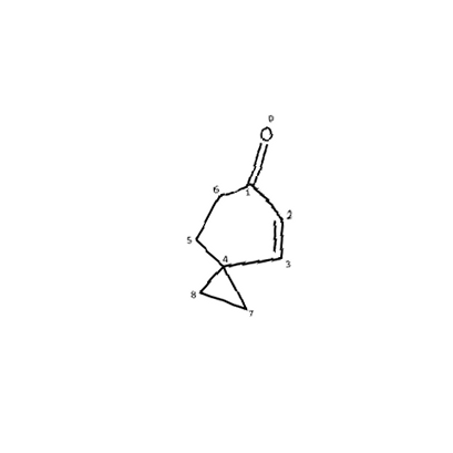 O=C1C=CC2(CC1)CC2